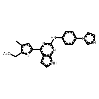 CC(=O)OCc1sc(-c2nc(Nc3ccc(-n4ccnc4)cc3)nc3[nH]ccc23)cc1C